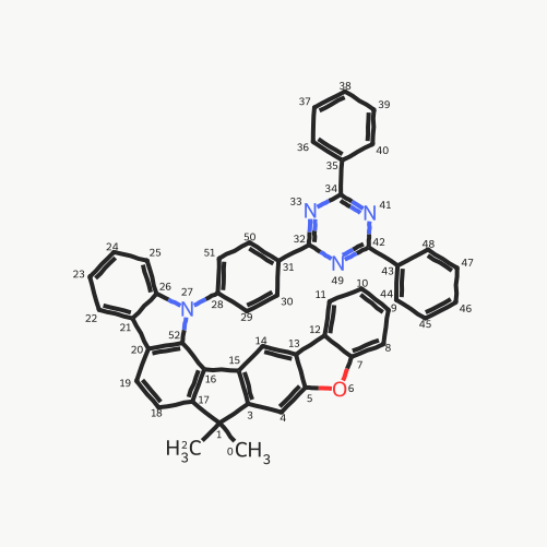 CC1(C)c2cc3oc4ccccc4c3cc2-c2c1ccc1c3ccccc3n(-c3ccc(-c4nc(-c5ccccc5)nc(-c5ccccc5)n4)cc3)c21